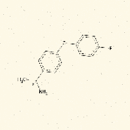 C[C@@H](N)c1ccc(Oc2ccc(F)cc2)cc1